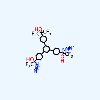 [N-]=[N+]=NC(O)(C1CCC(C2CC(C3CCC(C(O)(N=[N+]=[N-])C(F)(F)F)CC3)CC(C3CCC(C(O)(C(F)(F)F)C(F)(F)F)CC3)C2)CC1)C(F)(F)F